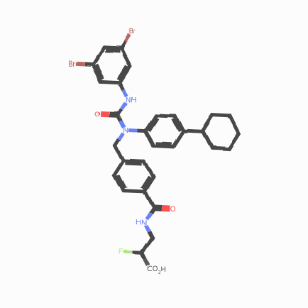 O=C(NCC(F)C(=O)O)c1ccc(CN(C(=O)Nc2cc(Br)cc(Br)c2)c2ccc(C3CCCCC3)cc2)cc1